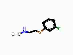 O=CNCCSc1cc[c]c(Cl)c1